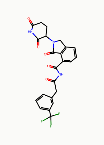 O=C(Cc1cccc(C(F)(F)F)c1)NC(=O)c1cccc2c1C(=O)N(C1CCC(=O)NC1=O)C2